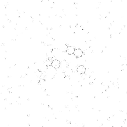 CNC(=O)COc1cc2cc(Nc3nc(N4CCCC4CNc4ccc5c(C6CCC(=O)NC6=O)nn(C)c5c4)ncc3Cl)ccc2n(C)c1=O